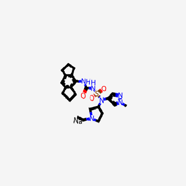 CCN1CCC(N(c2cnn(C)c2)S(=O)(=O)NC(=O)Nc2c3c(cc4c2CCC4)CCC3)C1.[Na]